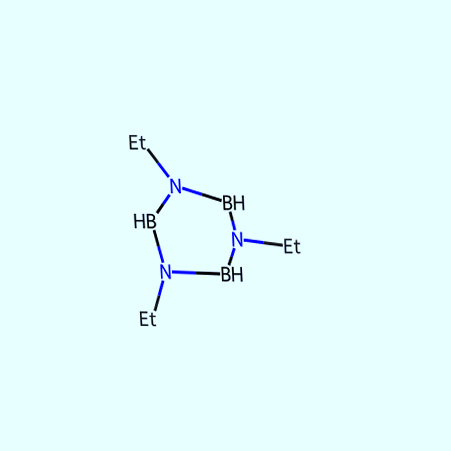 CCN1BN(CC)BN(CC)B1